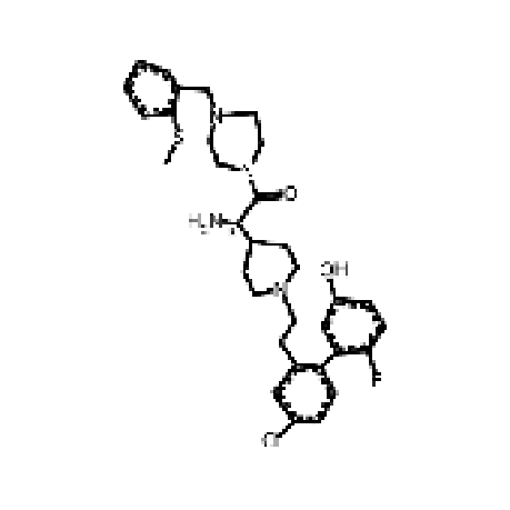 CSc1ccccc1CN1CCN(C(=O)[C@H](N)C2CCN(CCc3cc(Cl)ccc3-c3cc(O)ccc3F)CC2)CC1